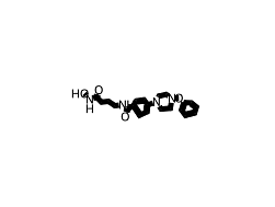 O=C(CCCNC(=O)c1ccc(N2CCN(Oc3ccccc3)CC2)cc1)NO